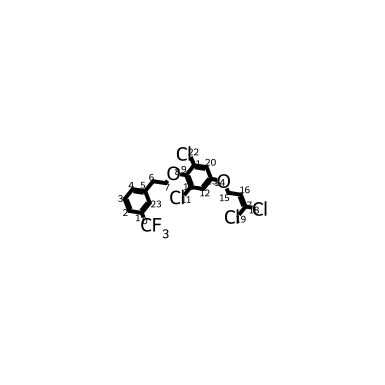 FC(F)(F)c1cccc(CCOc2c(Cl)cc(OCC=C(Cl)Cl)cc2Cl)c1